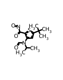 CC(C)N(C=O)c1cc(C(C)(C)C)sc1C(=O)N=O